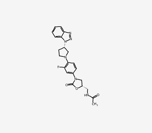 CC(=O)NC[C@H]1CN(c2ccc(N3CC[C@H](n4nnc5ccccc54)C3)c(F)c2)C(=O)O1